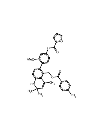 COc1cc(OC(=O)c2ccco2)ccc1-c1ccc2c(c1COC(=O)c1ccc(C)cc1)C(C)=CC(C)(C)N2